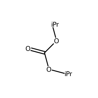 CC(C)OC(=O)OC(C)C